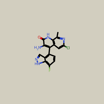 Cc1nc(Cl)cc2c(-c3ccc(F)c4[nH]ncc34)c(N)c(=O)[nH]c12